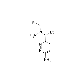 CCC(C)CN(N)C(CC)c1ccc(N)nn1